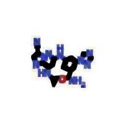 N#Cc1cnc2c(NC3CC3)cc(Nc3cc(C(N)=O)cc(-n4cncn4)c3)nn12